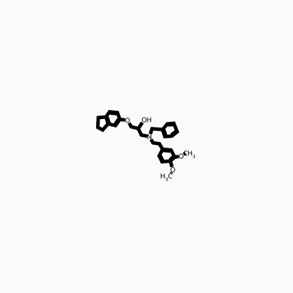 COc1ccc(CCN(Cc2ccccc2)CC(O)COc2ccc3c(c2)CCC3)cc1OC